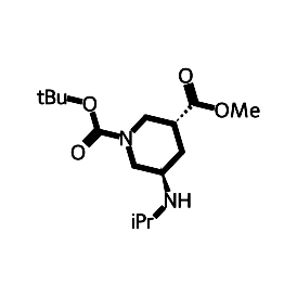 COC(=O)[C@@H]1C[C@@H](NC(C)C)CN(C(=O)OC(C)(C)C)C1